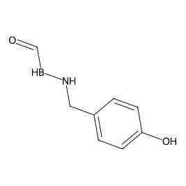 O=CBNCc1ccc(O)cc1